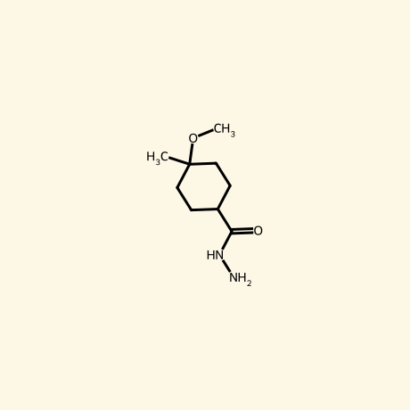 COC1(C)CCC(C(=O)NN)CC1